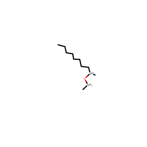 CCCCCCCC[SiH](C)O[SiH2]C